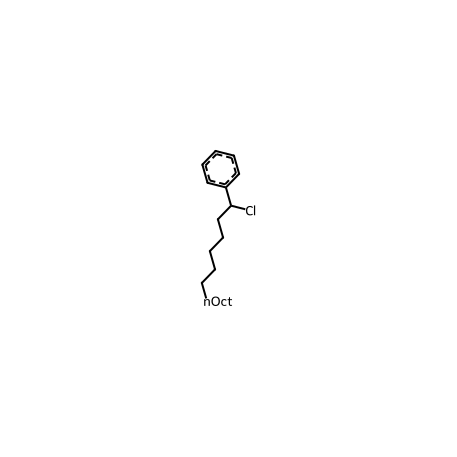 CCCCCCCCCCCCCC(Cl)c1ccccc1